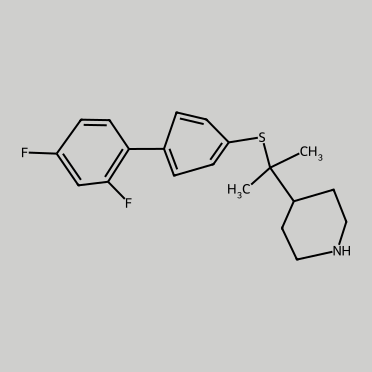 CC(C)(Sc1ccc(-c2ccc(F)cc2F)cc1)C1CCNCC1